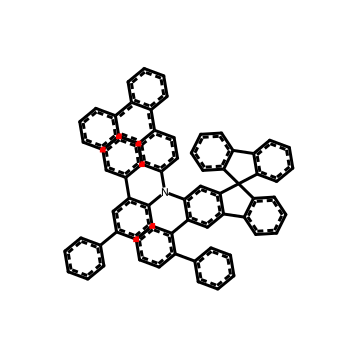 c1ccc(-c2ccc(N(c3ccc4c5ccccc5c5ccccc5c4c3)c3cc4c(cc3-c3ccccc3-c3ccccc3)-c3ccccc3C43c4ccccc4-c4ccccc43)c(-c3ccccc3)c2)cc1